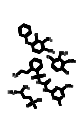 COc1c(Cl)ccc(Cl)c1C(=O)O.COc1nc(C)nc(NC(=O)NS(=O)(=O)c2ccccc2CCC(F)(F)F)n1.CP(=O)(O)CCC(N)C(=O)O.Nc1c([N+](=O)[O-])ccc(Oc2ccccc2)c1Cl